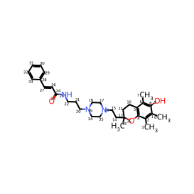 Cc1c(C)c2c(c(C)c1O)CCC(C)(CCN1CCN(CCCNC(=O)/C=C/c3ccccc3)CC1)O2